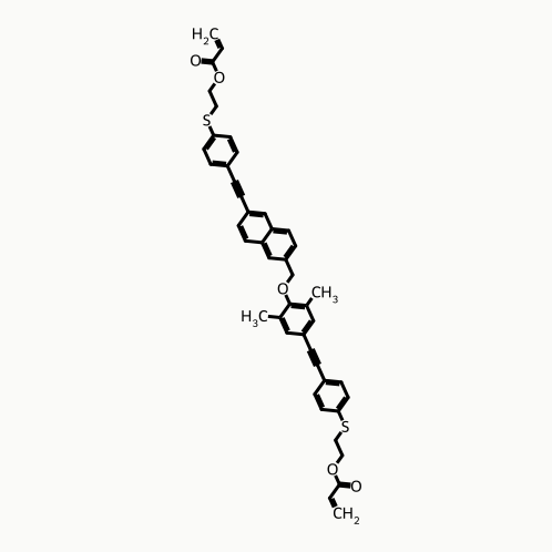 C=CC(=O)OCCSc1ccc(C#Cc2cc(C)c(OCc3ccc4cc(C#Cc5ccc(SCCOC(=O)C=C)cc5)ccc4c3)c(C)c2)cc1